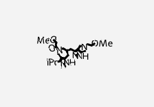 COCCN1Cc2[nH]nc(CC3Cc4[nH]nc(C(C)C)c4CN(C(=O)COC)C3)c2C1